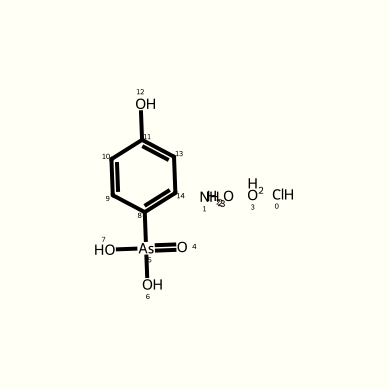 Cl.N.O.O.O=[As](O)(O)c1ccc(O)cc1